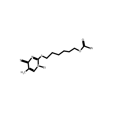 CCn1cc(C)c(=S)nc1SCCCCCCOC(=O)C(C)C